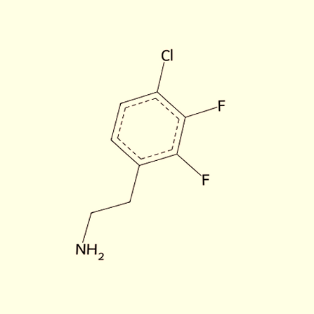 NCCc1ccc(Cl)c(F)c1F